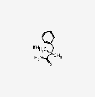 CS(C)(Cc1ccccc1)C(N)=S.[KH]